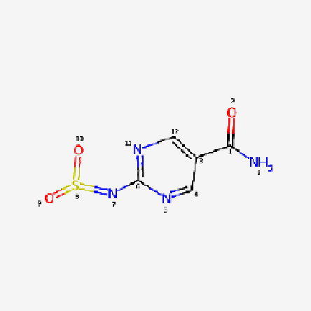 NC(=O)c1cnc(N=S(=O)=O)nc1